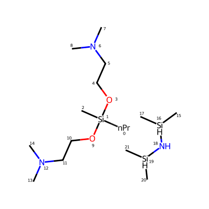 CCC[Si](C)(OCCN(C)C)OCCN(C)C.C[SiH](C)N[SiH](C)C